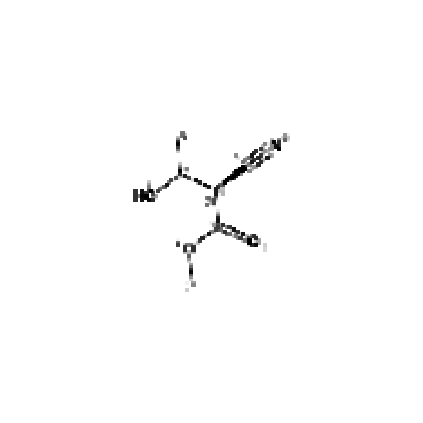 COC(=O)[C@H](C#N)C(C)O